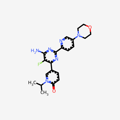 CC(C)n1cc(-c2nc(-c3ccc(N4CCOCC4)cn3)nc(N)c2F)ccc1=O